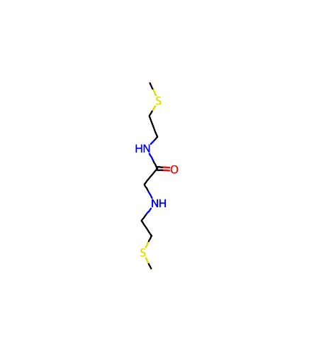 CSCCNCC(=O)NCCSC